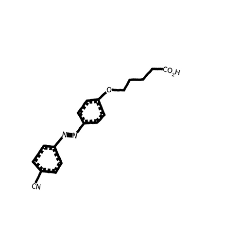 N#Cc1ccc(N=Nc2ccc(OCCCCC(=O)O)cc2)cc1